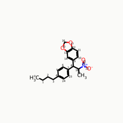 CCCCc1ccc(C(c2ccc3c(c2)OCO3)C(C)[N+](=O)[O-])cc1